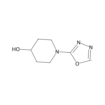 OC1CCN(c2nn[c]o2)CC1